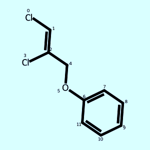 Cl/C=C(\Cl)COc1cc[c]cc1